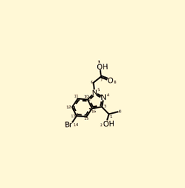 CC(O)c1nn(CC(=O)O)c2ccc(Br)cc12